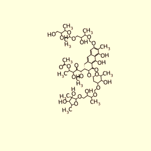 CO[C@H](C(=O)[C@@H](O)[C@@H](C)OC(C)=O)[C@@H]1Cc2cc3cc(OCOC(C)[C@@H](O)COC(C)OC(C)[C@@H](O)CO)c(C)c(O)c3c(O)c2C(=O)[C@H]1O[C@H]1CC(OCOC(C)[C@H](O)COC2OC(C)[C@@H](O)C2(C)O)[C@H](O)C(C)O1